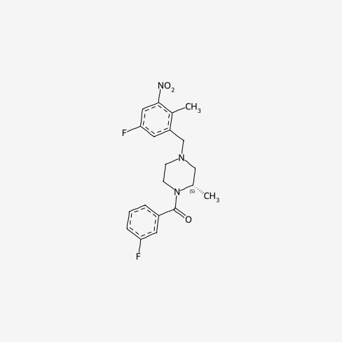 Cc1c(CN2CCN(C(=O)c3cccc(F)c3)[C@@H](C)C2)cc(F)cc1[N+](=O)[O-]